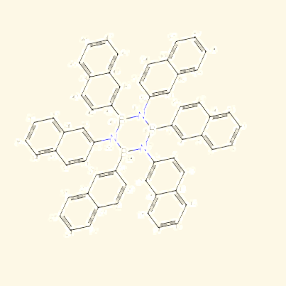 c1ccc2cc(B3N(c4ccc5ccccc5c4)B(c4ccc5ccccc5c4)N(c4ccc5ccccc5c4)B(c4ccc5ccccc5c4)N3c3ccc4ccccc4c3)ccc2c1